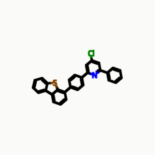 Clc1cc(-c2ccccc2)nc(-c2ccc(-c3cccc4c3sc3ccccc34)cc2)c1